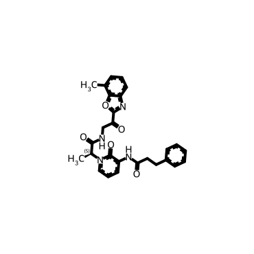 Cc1cccc2nc(C(=O)CNC(=O)[C@H](C)n3cccc(NC(=O)CCc4ccccc4)c3=O)oc12